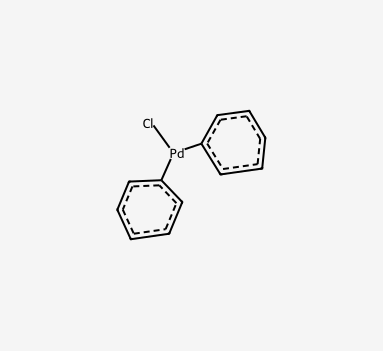 [Cl][Pd]([c]1ccccc1)[c]1ccccc1